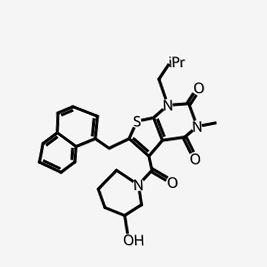 CC(C)Cn1c(=O)n(C)c(=O)c2c(C(=O)N3CCCC(O)C3)c(Cc3cccc4ccccc34)sc21